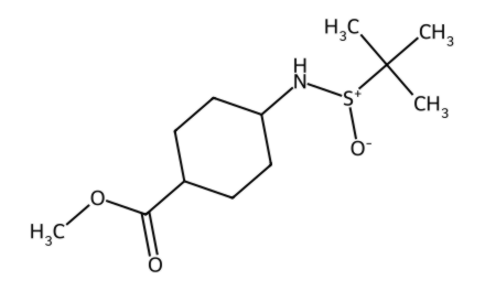 COC(=O)C1CCC(N[S+]([O-])C(C)(C)C)CC1